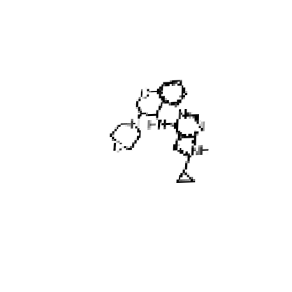 c1ccc2c(c1)OCC(N1CCOCC1)C2Nc1ncnc2[nH]c(C3CC3)cc12